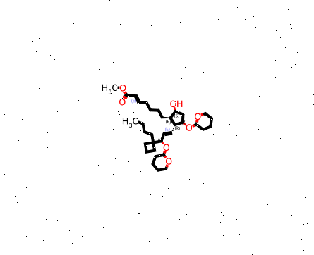 CCCCC1([C@@H](/C=C/[C@@H]2[C@@H](CCCC/C=C/C(=O)OC)[C@@H](O)C[C@H]2OC2CCCCO2)OC2CCCCO2)CCC1